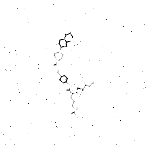 CCn1cc(C(=O)O)c(=O)c2cc(F)c(N3CCN(C(=O)OCc4ccc(NC(=O)C(CCCNC(N)=O)n5cc(C(N)CC(C)C)nn5)cc4)CC3)cc21